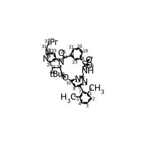 Cc1cccc(C)c1-c1cc2nc(n1)NS(=O)(=O)c1cccc(c1)C(=O)N(c1cnn(CC(C)C)c1)[C@H](CC(C)(C)C)CO2